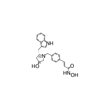 O=C(C=Cc1ccc(CN2C[C@@H](O)C[C@@H]2Cc2c[nH]c3ccccc23)cc1)NO